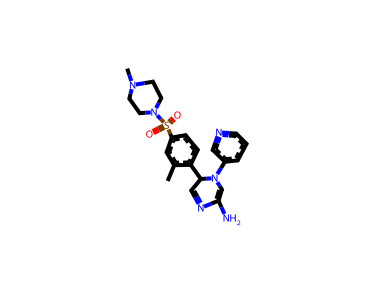 Cc1cc(S(=O)(=O)N2CCN(C)CC2)ccc1C1C=NC(N)=CN1c1cccnc1